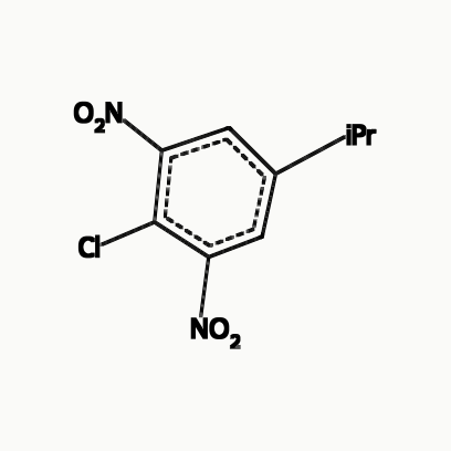 CC(C)c1cc([N+](=O)[O-])c(Cl)c([N+](=O)[O-])c1